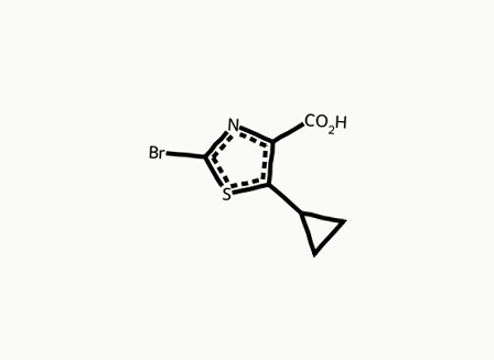 O=C(O)c1nc(Br)sc1C1CC1